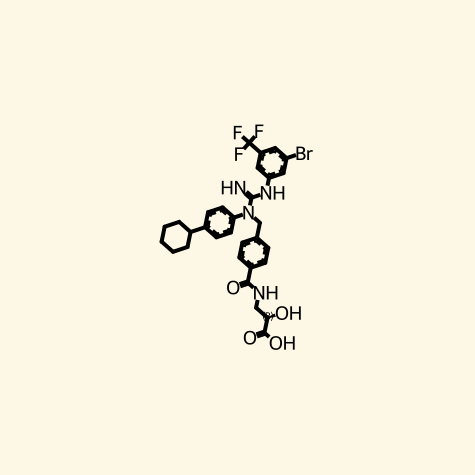 N=C(Nc1cc(Br)cc(C(F)(F)F)c1)N(Cc1ccc(C(=O)NC[C@@H](O)C(=O)O)cc1)c1ccc(C2CCCCC2)cc1